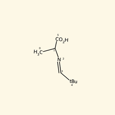 CC(N=CC(C)(C)C)C(=O)O